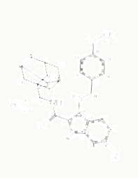 O=C(NC(C(=O)O)C12CC3CC(CC(C3)C1)C2)c1sc2cc(Cl)ccc2c1OCc1ccc(OC(F)(F)F)cc1